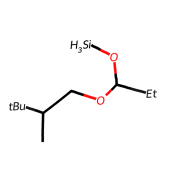 CCC(O[SiH3])OCC(C)C(C)(C)C